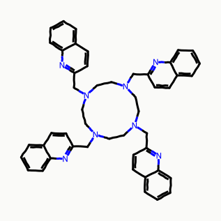 c1ccc2nc(CN3CCN(Cc4ccc5ccccc5n4)CCN(Cc4ccc5ccccc5n4)CCN(Cc4ccc5ccccc5n4)CC3)ccc2c1